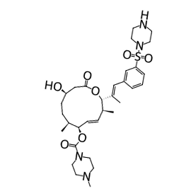 C/C(=C\c1cccc(S(=O)(=O)N2CCNCC2)c1)[C@H]1OC(=O)C[C@H](O)CC[C@H](C)[C@H](OC(=O)N2CCN(C)CC2)/C=C/[C@@H]1C